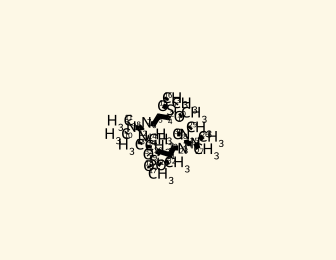 CO[Si](C)(CCCN=C(N(C)C)N(C)C)OC.CO[Si](CCCN=C(N(C)C)N(C)C)(OC)OC